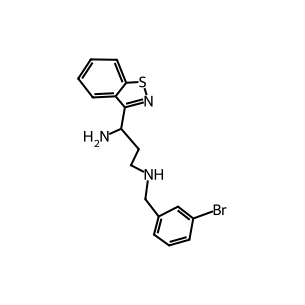 NC(CCNCc1cccc(Br)c1)c1nsc2ccccc12